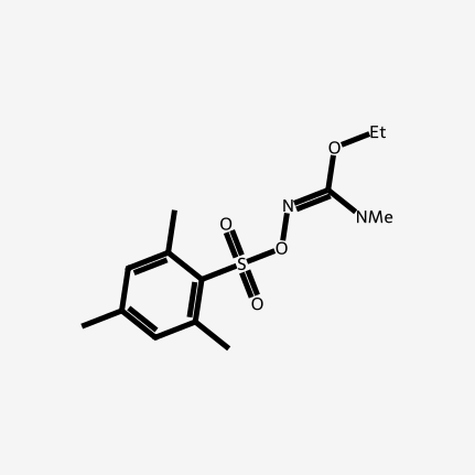 CCO/C(=N/OS(=O)(=O)c1c(C)cc(C)cc1C)NC